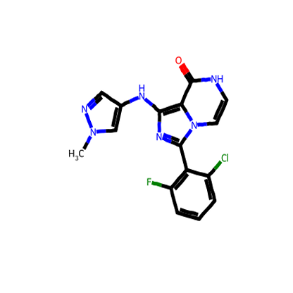 Cn1cc(Nc2nc(-c3c(F)cccc3Cl)n3cc[nH]c(=O)c23)cn1